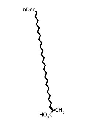 CCCCCCCCCCCCCCCCCCCCCCCCCCCCCCCCCCCC=C(C)C(=O)O